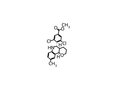 COC(=O)c1cc(Cl)c([C@H]2Nc3ccc(C)cc3[C@@H]3OCCC[C@H]23)c(Cl)c1